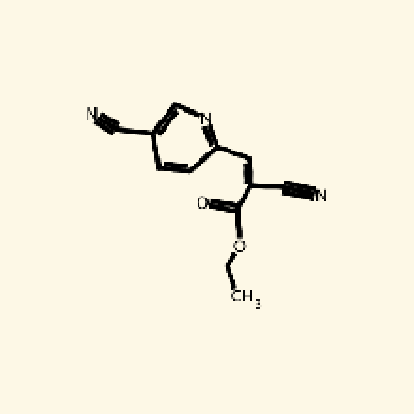 CCOC(=O)C(C#N)=Cc1ccc(C#N)cn1